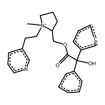 C[N+]1(CCc2cccnc2)CCCC1COC(=O)C(O)(c1ccccc1)c1ccccc1